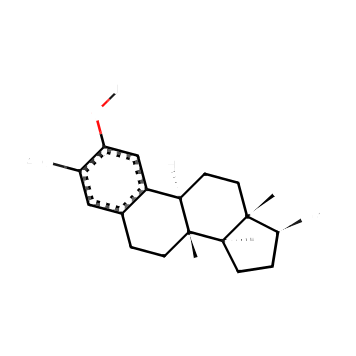 CCOc1cc2c(cc1OC(C)=O)CC[C@@H]1[C@@H]2CC[C@]2(C)[C@@H](OC(C)=O)CC[C@@H]12